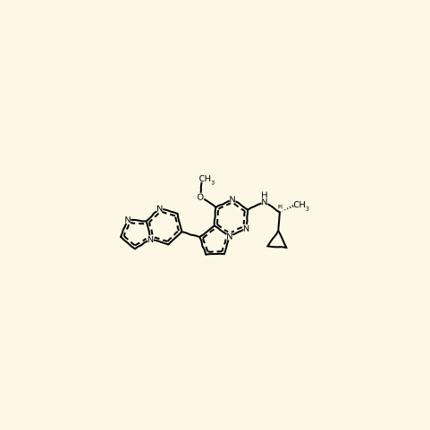 COc1nc(N[C@H](C)C2CC2)nn2ccc(-c3cnc4nccn4c3)c12